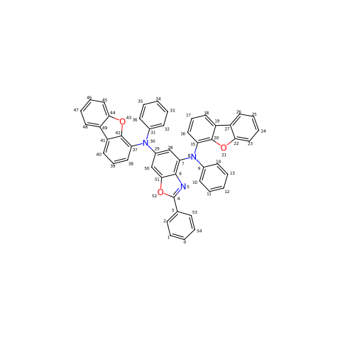 c1ccc(-c2nc3c(N(c4ccccc4)c4cccc5c4oc4ccccc45)cc(N(c4ccccc4)c4cccc5c4oc4ccccc45)cc3o2)cc1